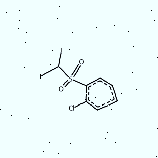 O=S(=O)(c1ccccc1Cl)C(I)I